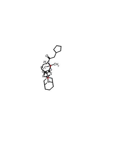 CC(C)(C)OC(=O)N1CC2CCCC(C1)N2c1nc2c(s1)CN(C(=O)CC1CCCC1)CC2